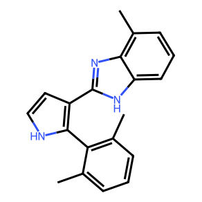 Cc1cccc(C)c1-c1[nH]ccc1-c1nc2c(C)cccc2[nH]1